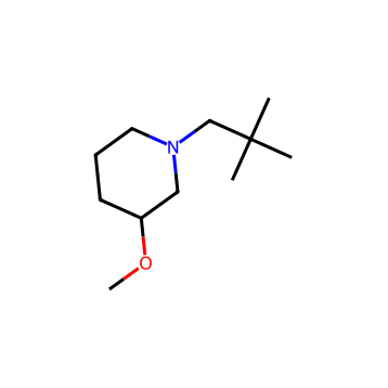 COC1CCCN(CC(C)(C)C)C1